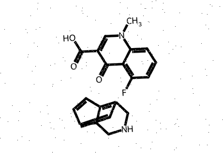 C1=CC2=C3C=C1C2CNC3.Cn1cc(C(=O)O)c(=O)c2c(F)cccc21